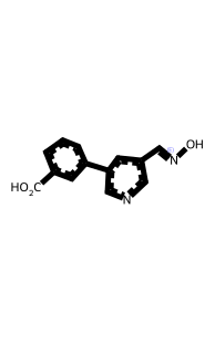 O=C(O)c1cccc(-c2cncc(/C=N/O)c2)c1